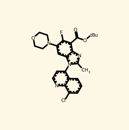 Cc1nc2c(C(=O)OC(C)(C)C)c(F)c(N3CCOCC3)cc2n1-c1ccnc2c(Cl)cccc12